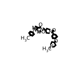 Cc1ccc(-n2ncc3c(=O)n(CC4(O)CCN(C(=O)c5ccc(OC6CCN(C)CC6)cc5)CC4)cnc32)cc1